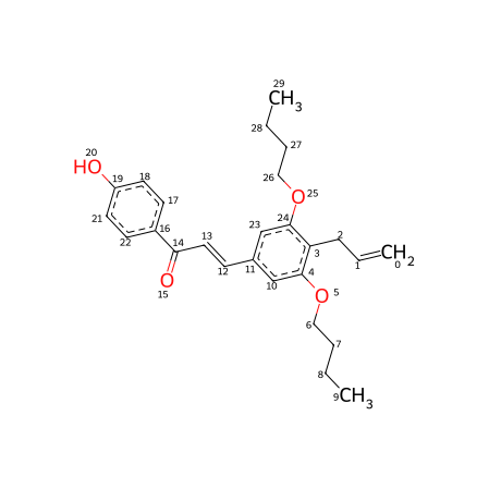 C=CCc1c(OCCCC)cc(C=CC(=O)c2ccc(O)cc2)cc1OCCCC